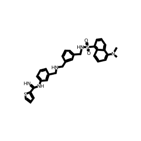 CN(C)c1cccc2c(S(=O)(=O)NCc3cccc(CNCc4cccc(NC(=N)c5cccs5)c4)c3)cccc12